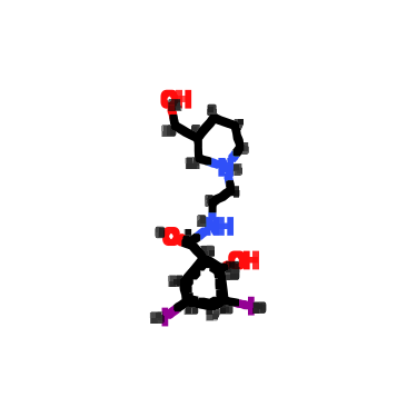 O=C(NCCN1CCCC(CO)C1)c1cc(I)cc(I)c1O